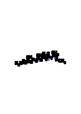 C/C=C/C(C)C/C(C)=C/CC/C(C)=C/CC/C(C)=C/CN